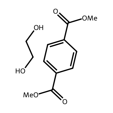 COC(=O)c1ccc(C(=O)OC)cc1.OCCO